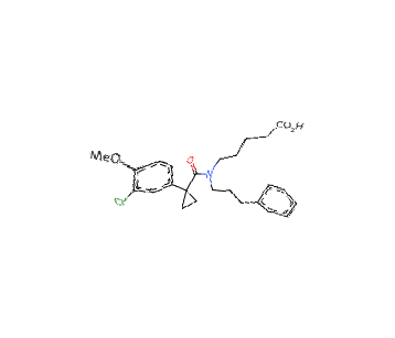 COc1ccc(C2(C(=O)N(CCCCC(=O)O)CCCc3ccccc3)CC2)cc1Cl